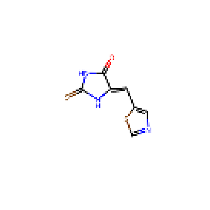 O=C1NC(=S)N/C1=C\c1cncs1